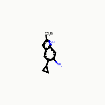 CCOC(=O)c1cc2cc(C3CC3)c(N)cc2[nH]1